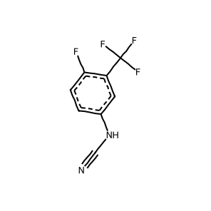 N#CNc1ccc(F)c(C(F)(F)F)c1